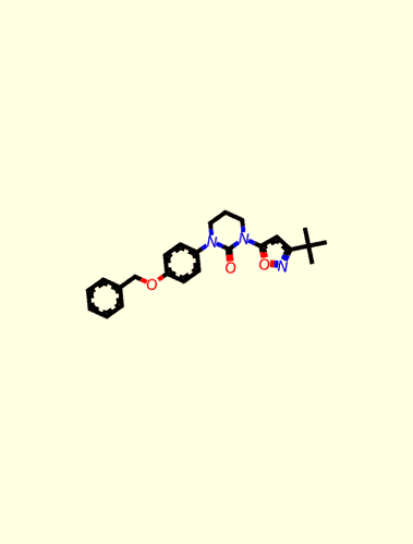 CC(C)(C)c1cc(N2CCCN(c3ccc(OCc4ccccc4)cc3)C2=O)on1